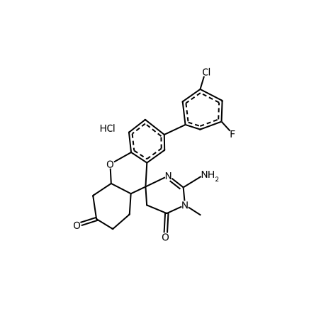 CN1C(=O)CC2(N=C1N)c1cc(-c3cc(F)cc(Cl)c3)ccc1OC1CC(=O)CCC12.Cl